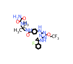 CC(C)(CNC(=O)C(N)=O)CNC(=O)c1ccc(Nc2nc(NC3(c4ccccc4F)CC3)nc(OCC(F)(F)F)n2)cc1